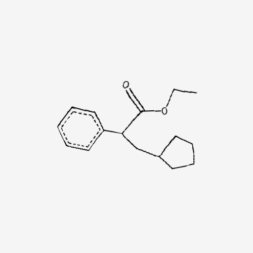 CCOC(=O)C(CC1CCCC1)c1ccccc1